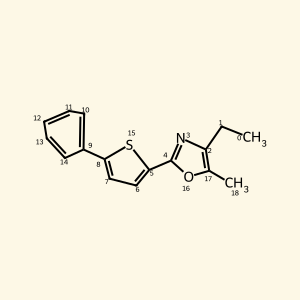 CCc1nc(-c2ccc(-c3ccccc3)s2)oc1C